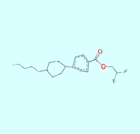 CCCCCC1CCC(c2ccc(C(=O)OCC(F)F)cc2)CC1